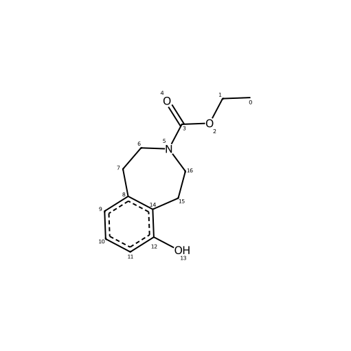 CCOC(=O)N1CCc2cccc(O)c2CC1